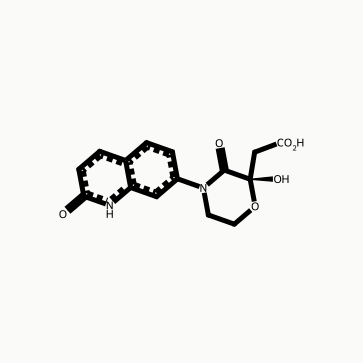 O=C(O)C[C@]1(O)OCCN(c2ccc3ccc(=O)[nH]c3c2)C1=O